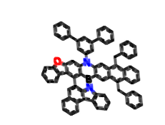 c1ccc(Cc2c3ccccc3c(Cc3ccccc3)c3cc4c(cc23)B2c3c(cc5oc6ccccc6c5c3-c3cc5ccccc5c5c6ccccc6n2c35)N4c2cc(-c3ccccc3)cc(-c3ccccc3)c2)cc1